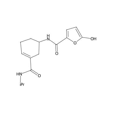 CC(C)NC(=O)C1=CCCC(NC(=O)c2ccc(O)o2)C1